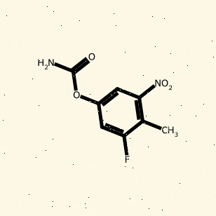 Cc1c(F)cc(OC(N)=O)cc1[N+](=O)[O-]